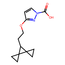 O=C(O)n1ccc(OCCC2C3(CC3)C23CC3)n1